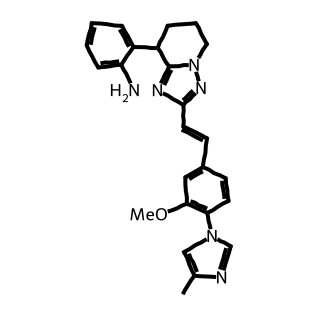 COc1cc(/C=C/c2nc3n(n2)CCCC3c2ccccc2N)ccc1-n1cnc(C)c1